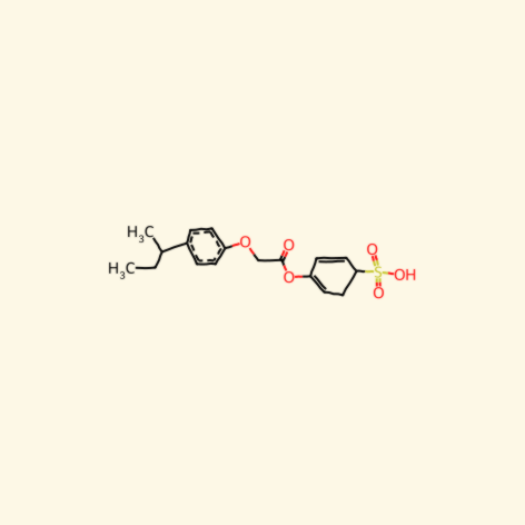 CCC(C)c1ccc(OCC(=O)OC2=CCC(S(=O)(=O)O)C=C2)cc1